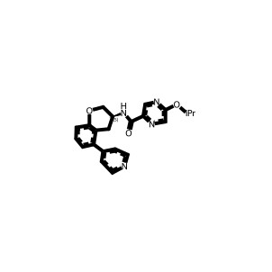 CC(C)Oc1cnc(C(=O)N[C@@H]2COc3cccc(-c4ccncc4)c3C2)cn1